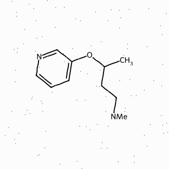 CNCCC(C)Oc1cccnc1